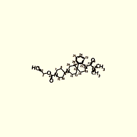 C#CCOC(=O)N1CCC(N2CCC3(CCN(C(=O)N(C)C)c4ccccc43)CC2)CC1